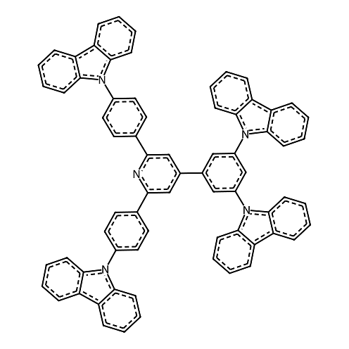 c1ccc2c(c1)c1ccccc1n2-c1ccc(-c2cc(-c3cc(-n4c5ccccc5c5ccccc54)cc(-n4c5ccccc5c5ccccc54)c3)cc(-c3ccc(-n4c5ccccc5c5ccccc54)cc3)n2)cc1